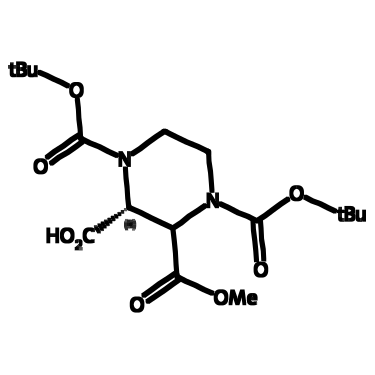 COC(=O)C1[C@H](C(=O)O)N(C(=O)OC(C)(C)C)CCN1C(=O)OC(C)(C)C